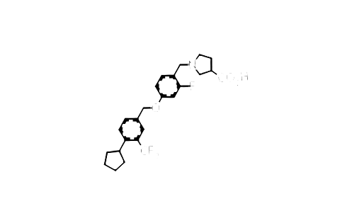 O=C(O)C1CCN(Cc2ccc(OCc3ccc(C4CCCC4)c(C(F)(F)F)c3)cc2F)C1